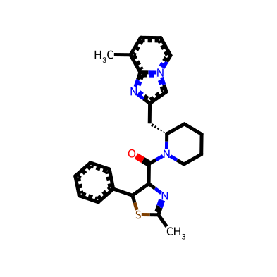 CC1=NC(C(=O)N2CCCC[C@H]2Cc2cn3cccc(C)c3n2)C(c2ccccc2)S1